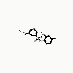 CCCCCCCCOc1cccc(S(=O)(=O)Nc2ccc(C)cc2C(C)=O)c1